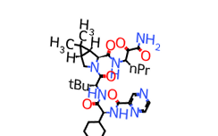 CCCC(NC(=O)[C@@H]1[C@@H]2[C@H](CN1C(=O)[C@@H](NC(=O)[C@@H](NC(=O)c1cnccn1)C1CCCCC1)C(C)(C)C)C2(C)C)C(=O)C(N)=O